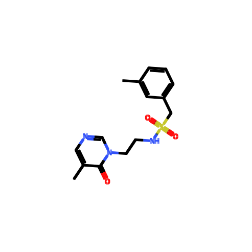 Cc1cccc(CS(=O)(=O)NCCn2cncc(C)c2=O)c1